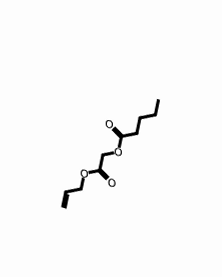 C=CCOC(=O)COC(=O)CCCC